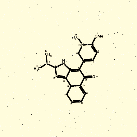 COC1=CC=C(C2=C3NC(N(C)C)N=C3C3CC=CC=C3C2=O)CN1C